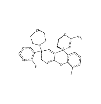 NC1=N[C@@]2(CCO1)C1=CC(c3cccnc3F)(N3CCOCC3)CC=C1Oc1c(F)cccc12